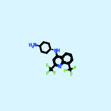 N[C@H]1CC[C@H](Nc2cc(C(F)(F)F)nc3c(C(F)(F)F)cccc23)CC1